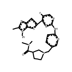 Cc1nc2cc(-c3nc(Nc4ccc(CN5CCC(C(=O)N(C)C)C5)cn4)ncc3F)sc2n1C(C)C